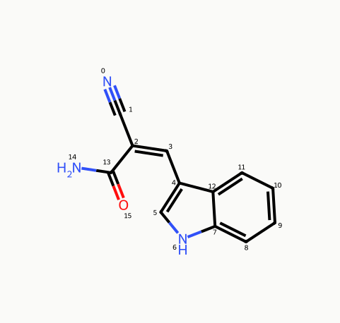 N#CC(=Cc1c[nH]c2ccccc12)C(N)=O